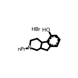 Br.CCCN1CCC2c3c(O)cccc3CC2C1